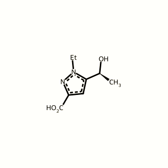 CCn1nc(C(=O)O)cc1[C@H](C)O